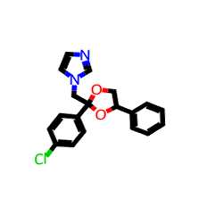 Clc1ccc(C2(Cn3ccnc3)OCC(c3ccccc3)O2)cc1